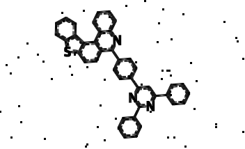 c1ccc(-c2cc(-c3ccc(-c4nc5ccccc5c5c4ccc4sc6ccccc6c45)cc3)nc(-c3ccccc3)n2)cc1